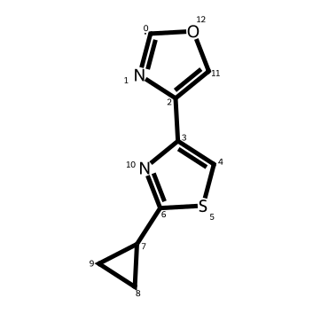 [c]1nc(-c2csc(C3CC3)n2)co1